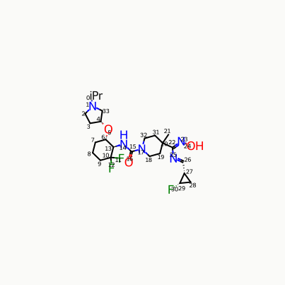 CC(C)N1CC[C@@H](O[C@H]2CCCC(F)(F)[C@@H]2NC(=O)N2CCC(C)(C(=N/O)/N=C/[C@@H]3C[C@@H]3F)CC2)C1